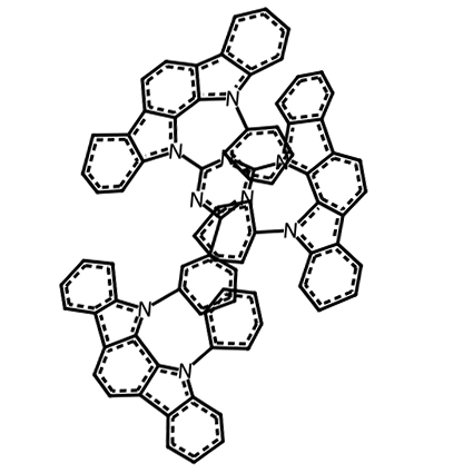 c1ccc(-n2c3ccccc3c3ccc4c5ccccc5n(-c5cccc(-c6nc(-n7c8ccccc8c8ccc9c%10ccccc%10n(-c%10ccccc%10)c9c87)nc(-n7c8ccccc8c8ccc9c%10ccccc%10n(-c%10ccccc%10)c9c87)n6)c5)c4c32)cc1